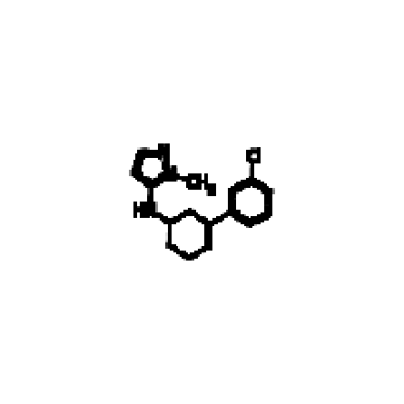 Cn1nccc1NC1CCC=C(c2cccc(Cl)c2)C1